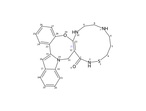 O=C1NSCCCNCCN/C2=C\1Cn1c(cc3ccccc31)-c1ccccc1O2